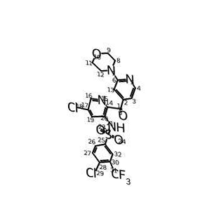 O=C(c1ccnc(N2CCOCC2)c1)c1ncc(Cl)cc1NS(=O)(=O)c1ccc(Cl)c(C(F)(F)F)c1